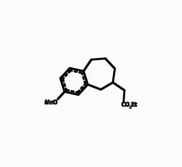 CCOC(=O)CC1CCCc2ccc(OC)cc2C1